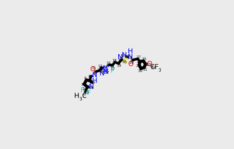 CC(F)(F)c1ccc(CNC(=O)c2cn(CC(F)CCc3nnc(NC(=O)Cc4cccc(OC(F)(F)F)c4)s3)nn2)cn1